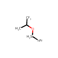 CCC[SiH2]OC(C)C(F)(F)F